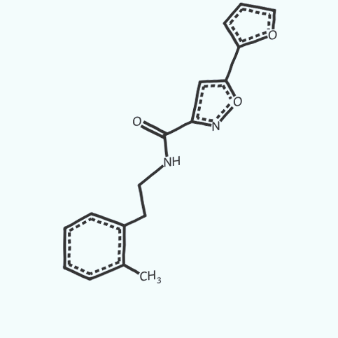 Cc1ccccc1CCNC(=O)c1cc(-c2ccco2)on1